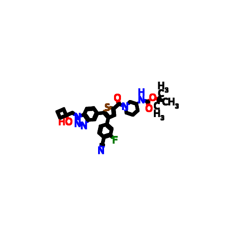 CC(C)(C)OC(=O)N[C@@H]1CCCN(C(=O)c2cc(-c3ccc(C#N)c(F)c3)c(-c3ccc4c(c3)nnn4CC3(O)CCC3)s2)C1